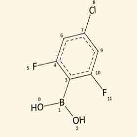 OB(O)c1c(F)cc(Cl)cc1F